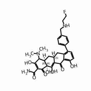 CN(C)C1C(O)=C(C(N)=O)C(=O)[C@]2(O)C(O)=C3C(=O)c4c(O)ccc(-c5ccc(CNCCF)cc5)c4C[C@@H]3C[C@H]12